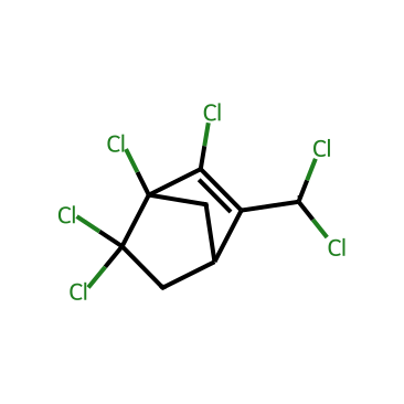 Cl[C](Cl)C1=C(Cl)C2(Cl)CC1CC2(Cl)Cl